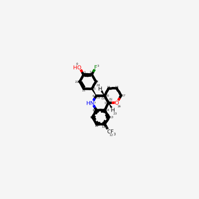 OC1=C(F)CC([C@@H]2Nc3ccc(C(F)(F)F)cc3[C@H]3OCCC[C@H]32)C=C1